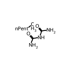 CCCCCC.NC(=O)NC(N)=O